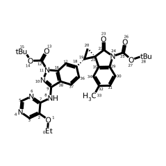 CCOc1cncnc1Nc1nn(C(=O)OC(C)(C)C)c2cc([C@@H]3C[C@@]34C(=O)N(C(=O)OC(C)(C)C)c3ccc(C)cc34)ccc12